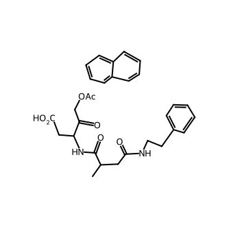 CC(=O)OCC(=O)C(CC(=O)O)NC(=O)C(C)CC(=O)NCCc1ccccc1.c1ccc2ccccc2c1